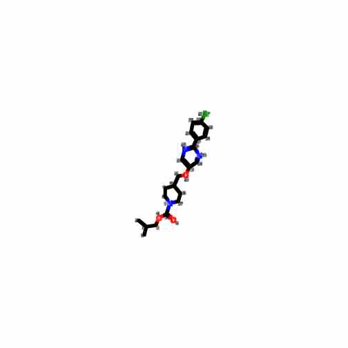 CC(C)COC(=O)N1CCC(COc2cnc(-c3ccc(Br)cc3)nc2)CC1